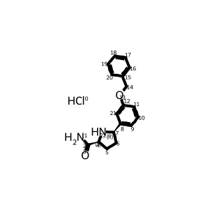 Cl.NC(=O)[C@@H]1CC[C@H](c2cccc(OCc3ccccc3)c2)N1